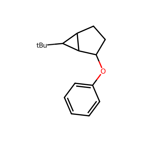 CC(C)(C)C1C2CCC(Oc3ccccc3)C21